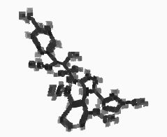 COc1cccc(OC)c1-n1c(NS(=O)(=O)C(C)C(OC)c2cnc(C)cn2)nnc1-c1ccn(C)n1